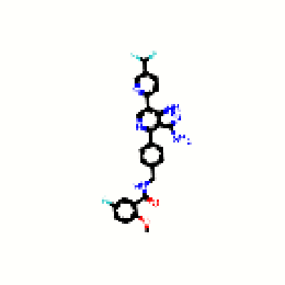 COc1ccc(F)cc1C(=O)NCc1ccc(-c2ncc(-c3ccc(C(F)F)cn3)c3[nH]nc(N)c23)cc1